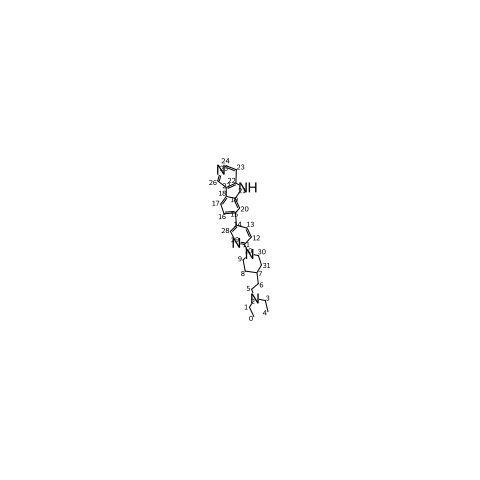 CCN(CC)CCC1CCN(c2ccc(-c3ccc4c(c3)[nH]c3ccncc34)cn2)CC1